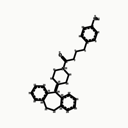 CC(C)(C)c1ccc(CCCC(=O)N2CCC(=C3c4ccccc4CCc4ccccc43)CC2)cc1